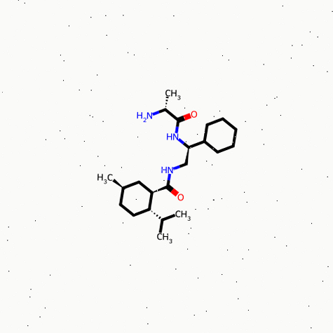 CC(C)[C@@H]1CC[C@@H](C)C[C@H]1C(=O)NC[C@@H](NC(=O)[C@@H](C)N)C1CCCCC1